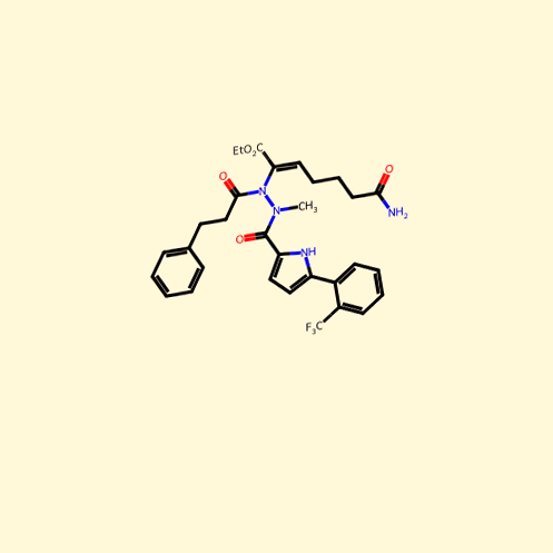 CCOC(=O)/C(=C/CCCC(N)=O)N(C(=O)CCc1ccccc1)N(C)C(=O)c1ccc(-c2ccccc2C(F)(F)F)[nH]1